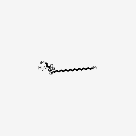 CC(C)CCCCCCCCCCCCCCCCCS(=O)(=O)OC(=O)[C@@H](N)CC(C)C